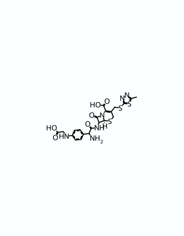 Cc1nnc(SCC2=C(C(=O)O)N3C(=O)C(NC(=O)C(N)c4ccc(NCC(=O)O)cc4)[C@@H]3SC2)s1